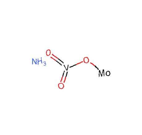 N.[O]=[V](=[O])[O][Mo]